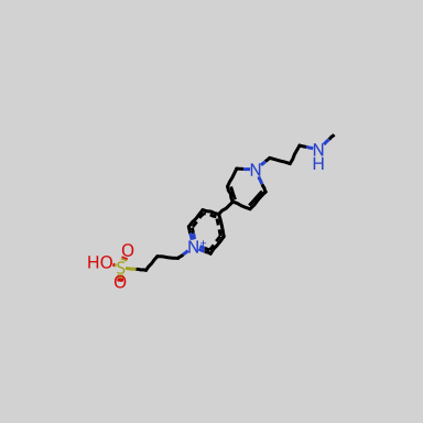 CNCCCN1C=CC(c2cc[n+](CCCS(=O)(=O)O)cc2)=CC1